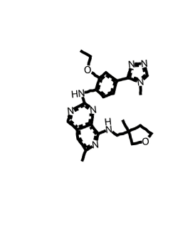 CCOc1cc(-c2nncn2C)ccc1Nc1ncc2cc(C)nc(NCC3(C)CCOC3)c2n1